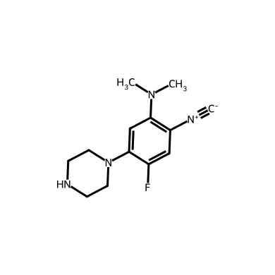 [C-]#[N+]c1cc(F)c(N2CCNCC2)cc1N(C)C